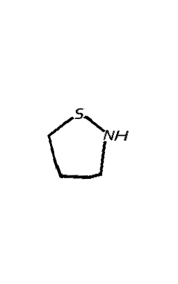 C1CNSC1